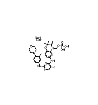 Cc1cc(Nc2ncc(F)c(Nc3ccc4c(n3)N(COP(=O)(O)O)C(=O)C(C)(C)O4)n2)ccc1N1CCOCC1.[NaH].[NaH]